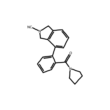 N#CN1Cc2cccc(-c3ccccc3C(=O)N3CCCC3)c2C1